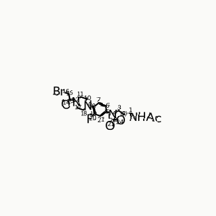 CC(=O)NC[C@H]1CN(c2ccc(N3CCN(C(=O)CBr)CC3)c(F)c2)C(=O)O1